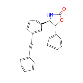 O=C1N[C@H](c2cccc(C#Cc3ccccc3)c2)[C@@H](c2ccccc2)O1